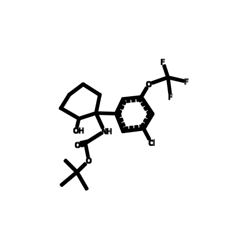 CC(C)(C)OC(=O)NC1(c2cc(Cl)cc(OC(F)(F)F)c2)CCCCC1O